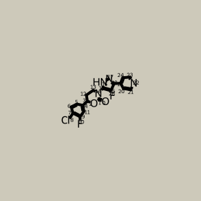 O=C1OC(c2ccc(Cl)c(F)c2)CCN1c1[nH]nc(-c2ccncc2)c1F